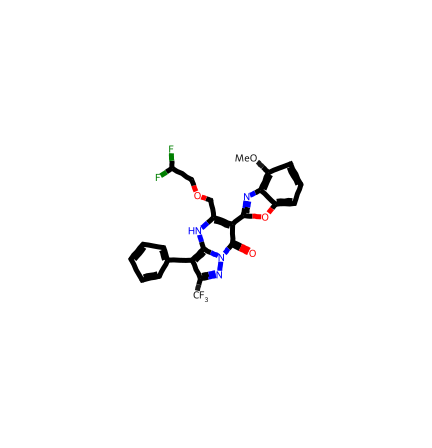 COc1cccc2oc(-c3c(COCC(F)F)[nH]c4c(-c5ccccc5)c(C(F)(F)F)nn4c3=O)nc12